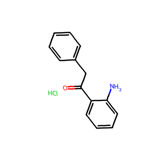 Cl.Nc1ccccc1C(=O)Cc1ccccc1